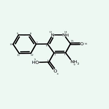 Nc1c(C(=O)O)c(-c2ccccc2)n[nH]c1=O